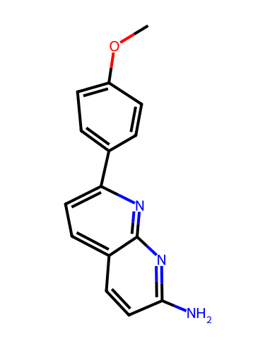 COc1ccc(-c2ccc3ccc(N)nc3n2)cc1